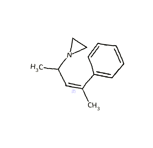 C/C(=C/C(C)N1CC1)c1ccccc1